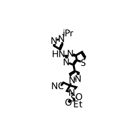 CCS(=O)(=O)N1CC(CC#N)(n2cc(-c3nc(Nc4cnn(C(C)C)c4)nc4ccsc34)cn2)C1